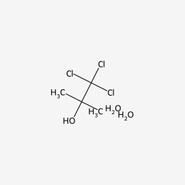 CC(C)(O)C(Cl)(Cl)Cl.O.O